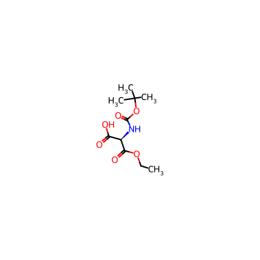 CCOC(=O)[C@H](NC(=O)OC(C)(C)C)C(=O)O